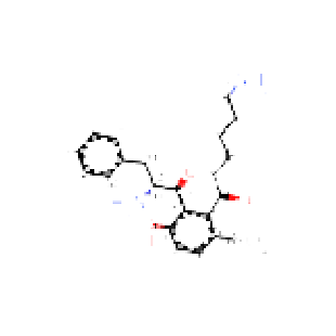 NCCCCCC(=O)c1c([N+](=O)[O-])ccc(O)c1C(=O)[C@@H](N)Cc1ccccc1